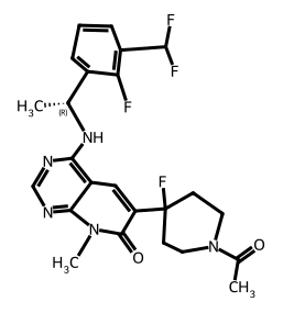 CC(=O)N1CCC(F)(c2cc3c(N[C@H](C)c4cccc(C(F)F)c4F)ncnc3n(C)c2=O)CC1